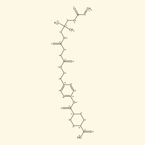 C=CC(=O)OCC(C)(C)COC(=O)CCC(=O)OCCc1ccc(OC(=O)C2CCC(C(=O)O)CC2)cc1